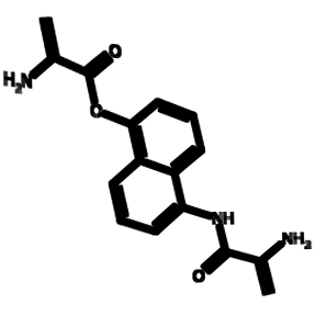 C=C(N)C(=O)Nc1cccc2c(OC(=O)C(=C)N)cccc12